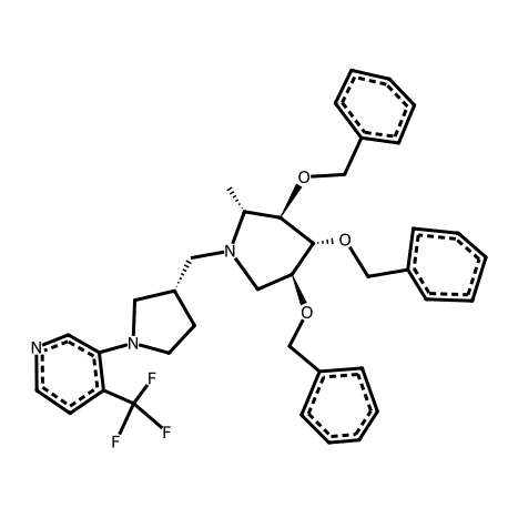 C[C@@H]1[C@@H](OCc2ccccc2)[C@H](OCc2ccccc2)[C@@H](OCc2ccccc2)CN1C[C@@H]1CCN(c2cnccc2C(F)(F)F)C1